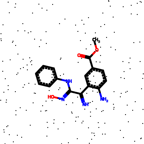 COC(=O)c1ccc(N)c(C(=N)/C(=N/O)Nc2ccccc2)c1